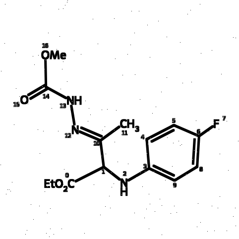 CCOC(=O)C(Nc1ccc(F)cc1)/C(C)=N/NC(=O)OC